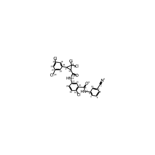 N#Cc1cccc(NC(=O)c2cc(NC(=O)C3C(c4cc(Cl)cc(Cl)c4)C3(Cl)Cl)ccc2Cl)c1